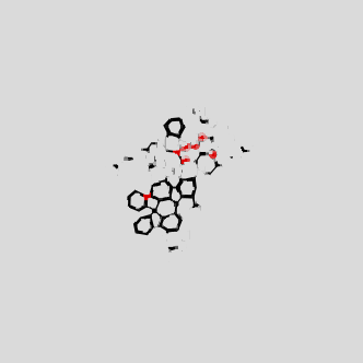 CC(=O)OCOC(=O)CN(CC(=O)OCOC(C)=O)c1ccc(C)cc1OCCOc1cc2c(cc1N(CC(=O)OCOC(C)=O)CC(=O)OCOC(C)=O)C(=O)OC21c2cc(Cl)c(OC(C)=O)cc2C(c2ccccc2)(c2ccccc2)c2cc(OC(C)=O)c(Cl)cc21